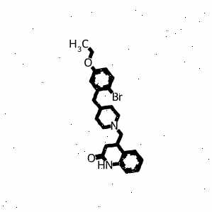 CCOc1ccc(Br)c(CC2CCN(CC3CC(=O)Nc4ccccc43)CC2)c1